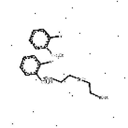 CCCCCCCCCCC[CH2][Sn+2][CH2]CCCCCCCCCCC.CCOC(=O)c1ccccc1[S-].CCOC(=O)c1ccccc1[S-]